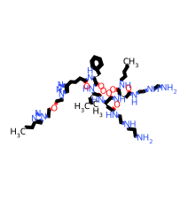 CCCCCNC(=O)[C@H](CC(=O)NCCNCCN)NC(=O)[C@@H](CC(=O)NCCNCCCN)NC(=O)[C@H](CC(C)C)NC(=O)[C@@H](Cc1ccccc1)NC(=O)CCCc1cn(CCOCCn2cc(CCC)nn2)nn1